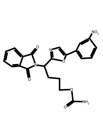 NC(=O)OCCCC(c1ncc(-c2cccc([N+](=O)[O-])c2)o1)N1C(=O)c2ccccc2C1=O